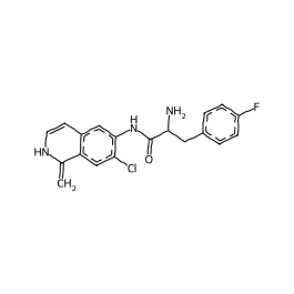 C=C1NC=Cc2cc(NC(=O)C(N)Cc3ccc(F)cc3)c(Cl)cc21